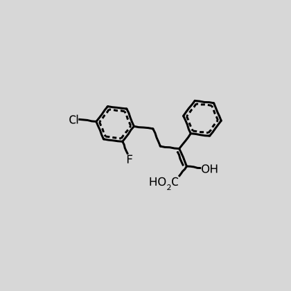 O=C(O)/C(O)=C(\CCc1ccc(Cl)cc1F)c1ccccc1